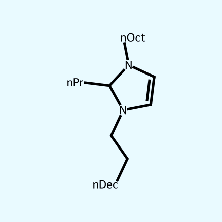 CCCCCCCCCCCCN1C=CN(CCCCCCCC)C1CCC